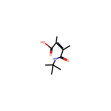 C/C(C(=O)O)=C(\C)C(=O)NC(C)(C)C